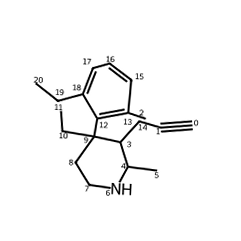 C#CCC1C(C)NCCC1(CC)c1c(C)cccc1CC